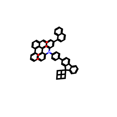 c1ccc(-c2cccc3cccc(-c4ccccc4N(c4ccc(-c5ccc6c(c5)C5(c7ccccc7-6)C6CC7CC8CC5C786)cc4)c4cccc(-c5cccc6ccccc56)c4)c23)cc1